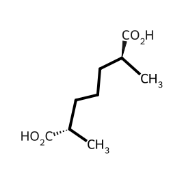 C[C@@H](CCC[C@H](C)C(=O)O)C(=O)O